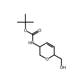 CC(C)(C)OC(=O)NC1C=CC(CO)OC1